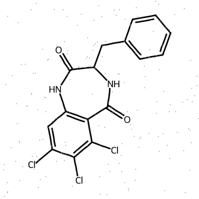 O=C1NC(Cc2ccccc2)C(=O)Nc2cc(Cl)c(Cl)c(Cl)c21